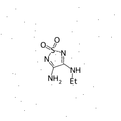 CCNC1=NS(=O)(=O)N=C1N